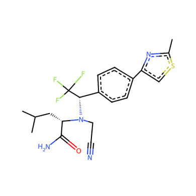 Cc1nc(-c2ccc([C@H](N(CC#N)[C@@H](CC(C)C)C(N)=O)C(F)(F)F)cc2)cs1